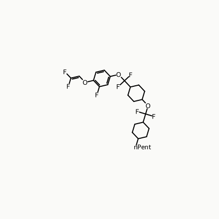 CCCCCC1CCC(C(F)(F)OC2CCC(C(F)(F)Oc3ccc(OC=C(F)F)c(F)c3)CC2)CC1